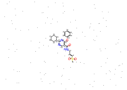 CS(=O)(=O)/C=C/CNC(=O)c1cnc(C2CCCCC2)nc1Oc1ccccc1